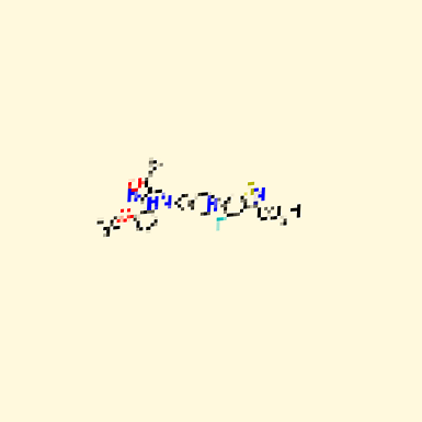 O=C(O)c1nsc2cc(N3C4CCC3CC3(CC(NCc5c(-c6ccccc6OC(F)(F)F)noc5C5CC5)C3)C4)c(F)cc12